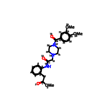 COC(=O)Cc1ccccc1NC(=O)CN1CCN(C(=O)c2ccc(OC)c(OC)c2)CC1